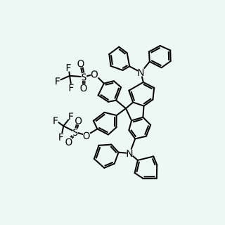 O=S(=O)(Oc1ccc(C2(c3ccc(OS(=O)(=O)C(F)(F)F)cc3)c3cc(N(c4ccccc4)c4ccccc4)ccc3-c3ccc(N(c4ccccc4)c4ccccc4)cc32)cc1)C(F)(F)F